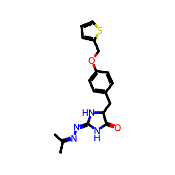 CC(C)=N/N=C1\NC(=O)C(Cc2ccc(OCc3cccs3)cc2)N1